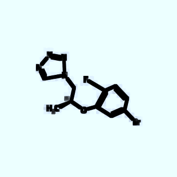 C[C@@H](Cn1cnnn1)Oc1cc(Br)ccc1F